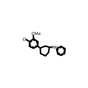 COc1cc(C2CCCC(Nc3ccccc3)C2)ccc1Cl